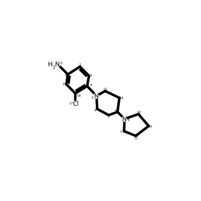 Nc1ccc(N2CCC(N3CCCC3)CC2)c(Cl)c1